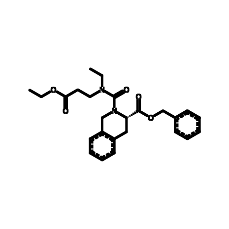 CCOC(=O)CCN(CC)C(=O)N1Cc2ccccc2C[C@H]1C(=O)OCc1ccccc1